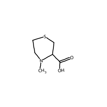 CN1CCSCC1C(=O)O